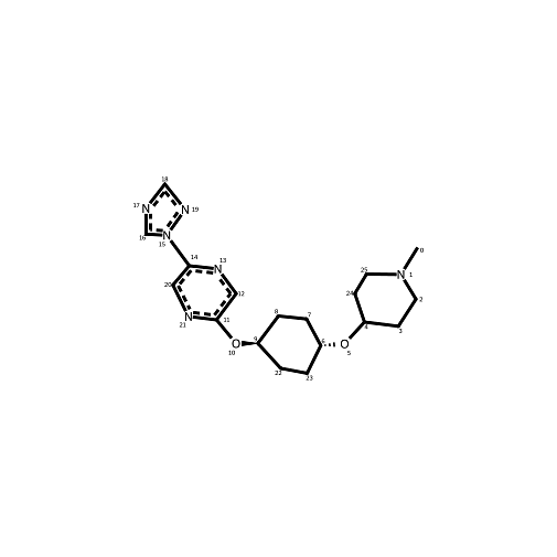 CN1CCC(O[C@H]2CC[C@H](Oc3cnc(-n4cncn4)cn3)CC2)CC1